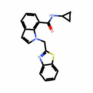 O=C(NC1[CH]C1)c1cccc2ccn(Cc3nc4ccccc4s3)c12